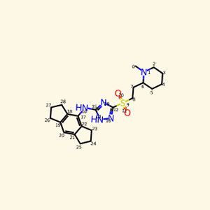 CN1CCCCC1CCS(=O)(=O)c1n[nH]c(Nc2c3c(cc4c2CCC4)CCC3)n1